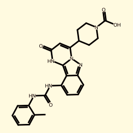 Cc1ccccc1NC(=O)Nc1cccc2nn3c(C4CCN(C(=O)O)CC4)cc(=O)[nH]c3c12